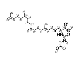 COC(=O)CN(C)C(=O)N[C@@H](CSC/C=C(\C)CCCC(C)CCCC(C)CCCC(C)C)C(=O)OC